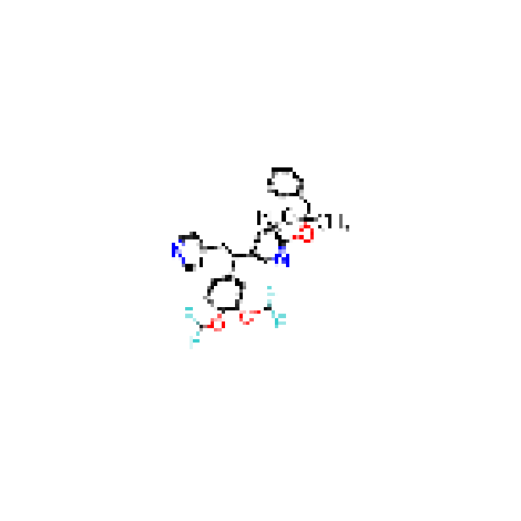 CC(C)(Cc1ccccc1)Oc1ccc(C(Cc2ccncc2)c2ccc(OC(F)F)c(OC(F)F)c2)cn1